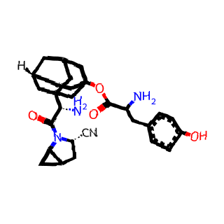 N#C[C@@H]1CC2CC2N1C(=O)[C@@H](N)C12CC3C[C@H](CC(OC(=O)C(N)Cc4ccc(O)cc4)(C3)C1)C2